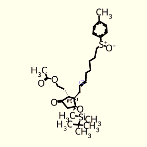 CC(=O)OCC[C@H]1C(=O)C[C@@H](O[Si](C)(C)C(C)(C)C)[C@@H]1C/C=C/CCCCC[S+]([O-])c1ccc(C)cc1